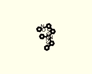 c1ccc(-c2nc(-c3cccc4c3sc3ccccc34)nc(-c3cccc4c3sc3c(-c5nc6ccccc6o5)cccc34)n2)cc1